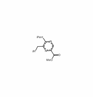 CCCC(C)c1ncc(C(=O)OC)nc1CC(C)C